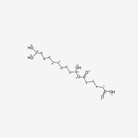 O=C(O)CCCCC(=O)OC(O)CCCCCCCCC(O)O